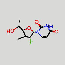 CC1[C@H](F)[C@H](n2ccc(=O)[nH]c2=O)O[C@@H]1[C@@H](C)O